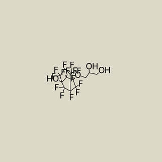 OCC(O)COC12C(F)(F)C3(O)C(F)(F)C(F)(C(F)(F)C(F)(C3(F)F)C1(F)F)C2(F)F